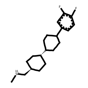 C[SiH2]C[C@H]1CC[C@H](C2CCC(c3ccc(F)c(F)c3)CC2)CC1